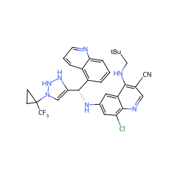 CC(C)(C)CNc1c(C#N)cnc2c(Cl)cc(N[C@H](C3=CN(C4(C(F)(F)F)CC4)NN3)c3cccc4ncccc34)cc12